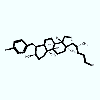 CC(C)CCC[C@@H](C)[C@H]1CC[C@H]2[C@@H]3CCC4[C@H](Cc5ccc(Cl)cc5)[C@H](O)CC[C@]4(C)[C@H]3CC[C@]12C